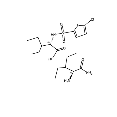 CCC(CC)[C@H](N)C(N)=O.CCC(CC)[C@H](NS(=O)(=O)c1ccc(Cl)s1)C(=O)O